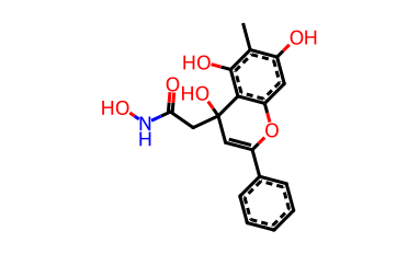 Cc1c(O)cc2c(c1O)C(O)(CC(=O)NO)C=C(c1ccccc1)O2